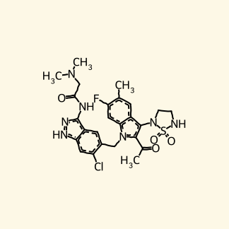 CC(=O)c1c(N2CCNS2(=O)=O)c2cc(C)c(F)cc2n1Cc1cc2c(NC(=O)CN(C)C)n[nH]c2cc1Cl